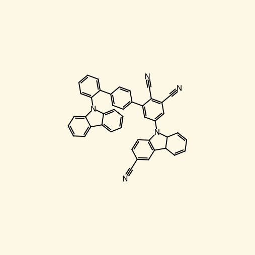 N#Cc1ccc2c(c1)C1C=CC=CC1N2c1cc(C#N)c(C#N)c(-c2ccc(-c3ccccc3-n3c4ccccc4c4ccccc43)cc2)c1